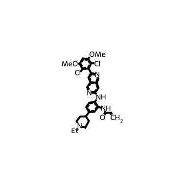 C=CC(=O)Nc1cc(C2CCN(CC)CC2)ccc1Nc1cc2cnc(-c3c(Cl)c(OC)cc(OC)c3Cl)cc2cn1